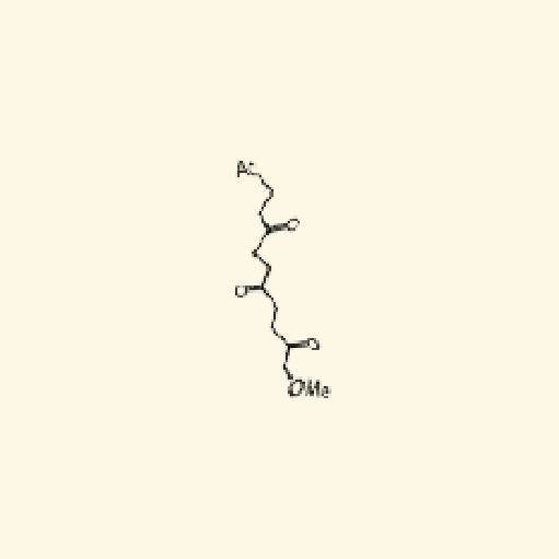 COCC(=O)CCC(=O)CCC(=O)CCC(C)=O